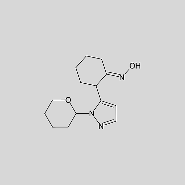 ON=C1CCCCC1c1ccnn1C1CCCCO1